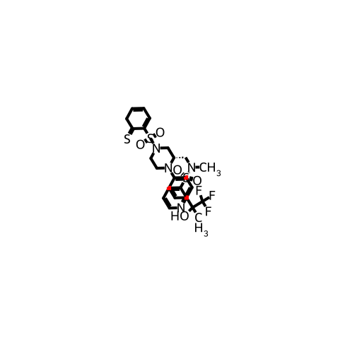 CN(C[C@H]1CN(S(=O)(=O)C2=CC=CCC2=S)CCN1c1ccc(C(C)(O)C(F)(F)F)cc1)S(=O)(=O)c1cccnc1